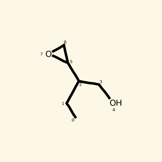 CCC(CO)C1CO1